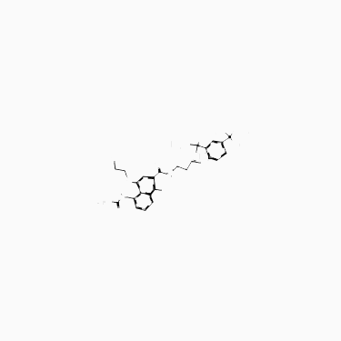 CCC(C)(C)c1ccc(OCCCNC(=O)c2cc(SCCC(=O)O)c3c(NC(=O)OCC(C)C)cccc3c2O)c(C(C)(C)CC)c1